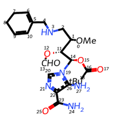 COC(CNCC1=CCCC=C1)[C@@H](OC=O)[C@@H](OC(=O)C(C)(C)C)n1cnc(C(N)=O)c1N